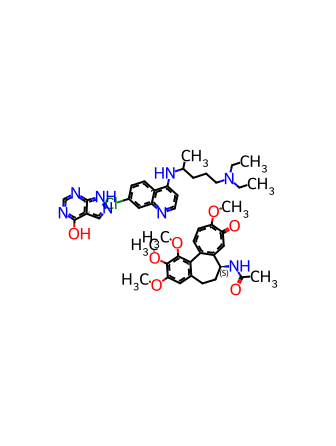 CCN(CC)CCCC(C)Nc1ccnc2cc(Cl)ccc12.COc1cc2c(c(OC)c1OC)-c1ccc(OC)c(=O)cc1[C@@H](NC(C)=O)CC2.Oc1ncnc2[nH]ncc12